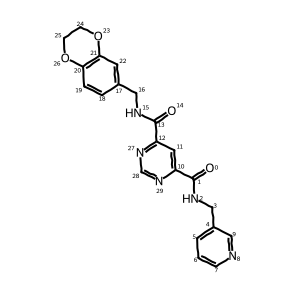 O=C(NCc1cccnc1)c1cc(C(=O)NCc2ccc3c(c2)OCCO3)ncn1